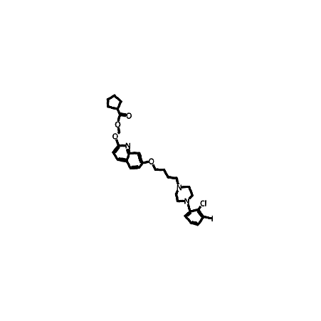 O=C(OCOc1ccc2ccc(OCCCCN3CCN(c4cccc(I)c4Cl)CC3)cc2n1)C1CCCC1